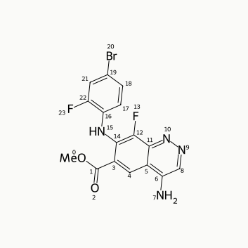 COC(=O)c1cc2c(N)cnnc2c(F)c1Nc1ccc(Br)cc1F